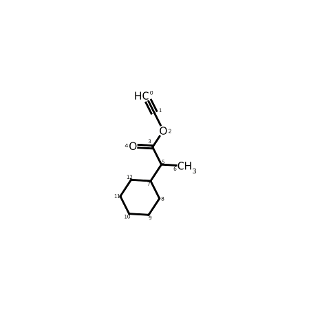 C#COC(=O)C(C)C1CCCCC1